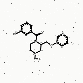 O=C(O)N1CCN(C(=O)c2cccc(Br)c2)C(COc2cccnc2)C1